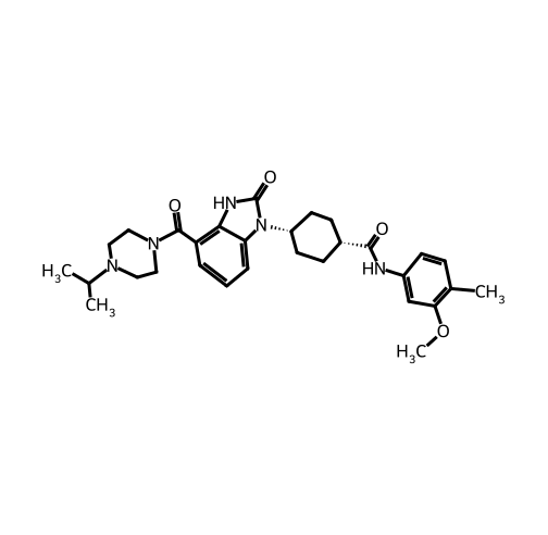 COc1cc(NC(=O)[C@H]2CC[C@@H](n3c(=O)[nH]c4c(C(=O)N5CCN(C(C)C)CC5)cccc43)CC2)ccc1C